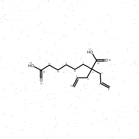 C=CCC(CC=C)(CCCCCC(=O)O)C(=O)O